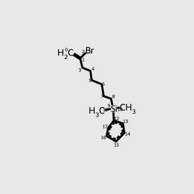 C=C(Br)CCCCCC[Si](C)(C)c1ccccc1